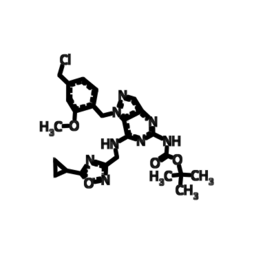 COc1cc(CCl)ccc1Cn1ncc2nc(NC(=O)OC(C)(C)C)nc(NCc3noc(C4CC4)n3)c21